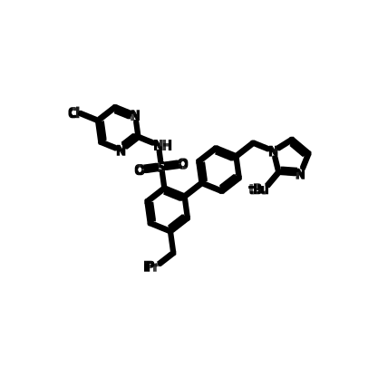 CC(C)Cc1ccc(S(=O)(=O)Nc2ncc(Cl)cn2)c(-c2ccc(Cn3ccnc3C(C)(C)C)cc2)c1